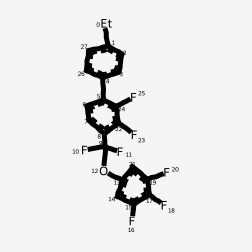 CCc1ccc(-c2ccc(C(F)(F)Oc3cc(F)c(F)c(F)c3)c(F)c2F)cc1